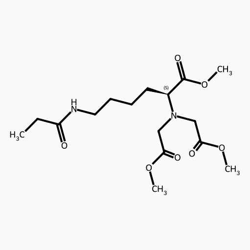 CCC(=O)NCCCC[C@@H](C(=O)OC)N(CC(=O)OC)CC(=O)OC